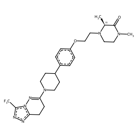 C[C@H]1C(=O)N(C)CCN1CCOc1ccc(C2CCN(C3=Nn4c(nnc4C(F)(F)F)CC3)CC2)cc1